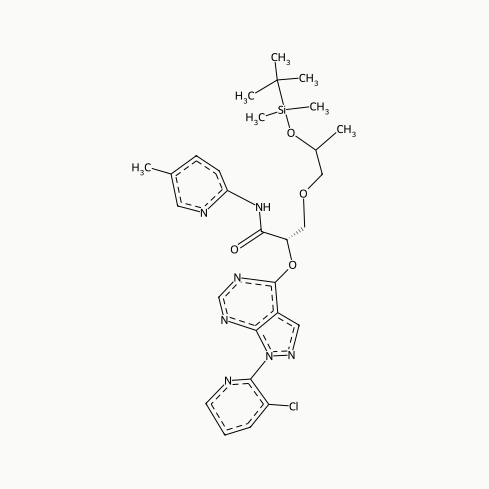 Cc1ccc(NC(=O)[C@H](COCC(C)O[Si](C)(C)C(C)(C)C)Oc2ncnc3c2cnn3-c2ncccc2Cl)nc1